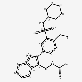 CCc1ccc(-c2[nH]c3ccccc3c2COC(C)=O)cc1S(=O)(=O)NC1CCCCC1